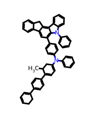 CC1CC(N(c2ccccc2)c2ccc(-c3cc4c(c5c6ccccc6n(-c6ccccc6)c35)Cc3ccccc3-4)cc2)=CC=C1c1ccc(C2=CC=CCC2)cc1